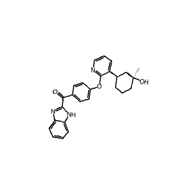 C[C@]1(O)CCCC(c2cccnc2Oc2ccc(C(=O)c3nc4ccccc4[nH]3)cc2)C1